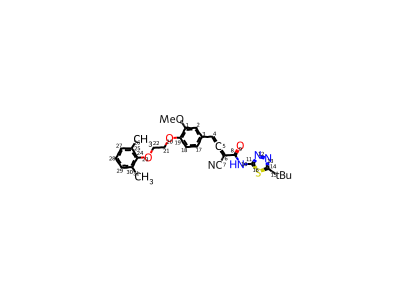 COc1cc(C=C=C(C#N)C(=O)Nc2nnc(C(C)(C)C)s2)ccc1OCCOc1c(C)cccc1C